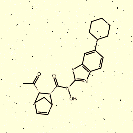 CC(=O)[C@H]1C2C=CC(C2)[C@H]1C(=O)N(O)c1nc2ccc(C3CCCCC3)cc2s1